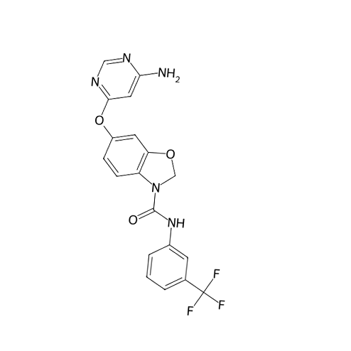 Nc1cc(Oc2ccc3c(c2)OCN3C(=O)Nc2cccc(C(F)(F)F)c2)ncn1